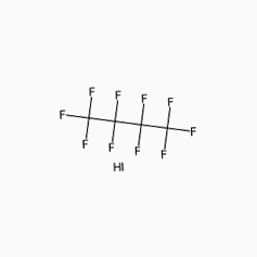 FC(F)(F)C(F)(F)C(F)(F)C(F)(F)F.I